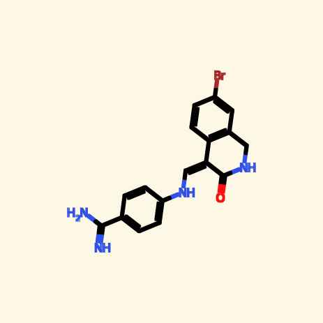 N=C(N)c1ccc(N/C=C2\C(=O)NCc3cc(Br)ccc32)cc1